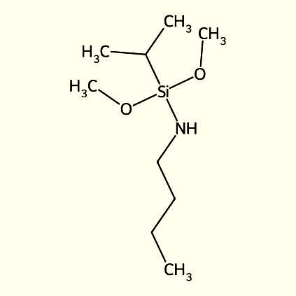 CCCCN[Si](OC)(OC)C(C)C